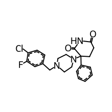 O=C1CCC(c2ccccc2)(N2CCN(Cc3ccc(Cl)c(F)c3)CC2)C(=O)N1